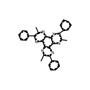 Cc1nc2c(nc1-c1ccccc1)c1nc(C)c(-c3ccccc3)nc1c1nc(C)c(-c3ccccc3)nc21